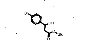 CC(C)(C)OC(=O)CC(O)c1ccc(Br)cc1